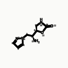 N[C@H](Cn1cccn1)[C@H]1CNC(=O)O1